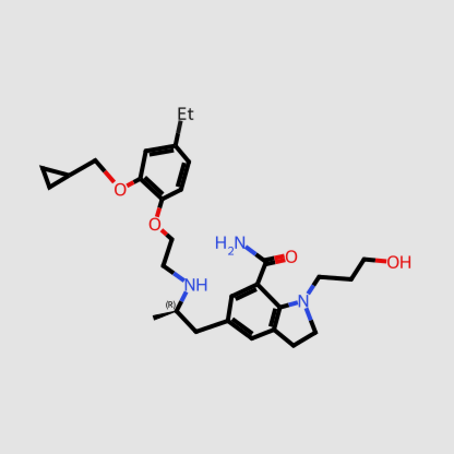 CCc1ccc(OCCN[C@H](C)Cc2cc3c(c(C(N)=O)c2)N(CCCO)CC3)c(OCC2CC2)c1